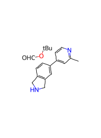 CC(C)(C)OC=O.Cc1cc(-c2ccc3c(c2)CNC3)ccn1